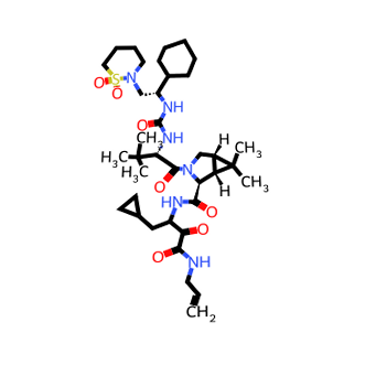 C=CCNC(=O)C(=O)C(CC1CC1)NC(=O)[C@@H]1[C@@H]2[C@H](CN1C(=O)[C@@H](NC(=O)N[C@H](CN1CCCCS1(=O)=O)C1CCCCC1)C(C)(C)C)C2(C)C